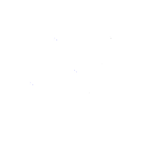 Cc1nc(C)c([C@H](OC(C)(C)C)C(=O)O)c(N2CCC(C)(C)CC2)c1-c1cnc2ccccc2c1